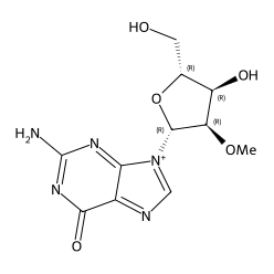 CO[C@@H]1[C@H](O)[C@@H](CO)O[C@H]1[N+]1=CN=C2C(=O)N=C(N)N=C21